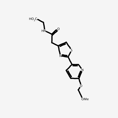 COCOc1ccc(-c2nc(CC(=O)NCC(=O)O)cs2)cn1